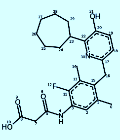 Cc1cc(NC(=O)CC(=O)O)c(F)c(C)c1Cc1ccc(O)c(C2CCCCCC2)n1